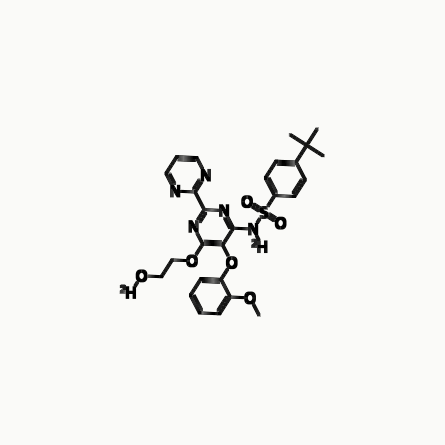 [2H]OCCOc1nc(-c2ncccn2)nc(N([2H])S(=O)(=O)c2ccc(C(C)(C)C)cc2)c1Oc1ccccc1OC